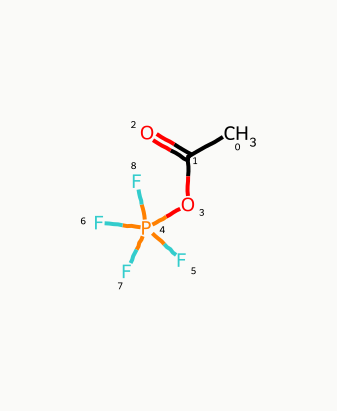 CC(=O)OP(F)(F)(F)F